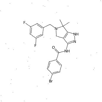 CC1(C)c2[nH]nc(NC(=O)c3ccc(Br)cc3)c2CN1Cc1cc(F)cc(F)c1